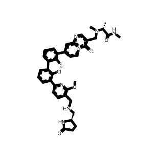 CNC(=O)[C@@H](C)N(C)Cc1cnc2cc(-c3cccc(-c4cccc(-c5ccc(CNC[C@H]6CCC(=O)N6)c(OC)n5)c4Cl)c3Cl)ccn2c1=O